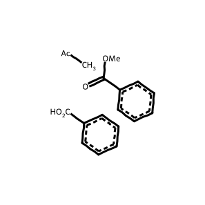 CC(C)=O.COC(=O)c1ccccc1.O=C(O)c1ccccc1